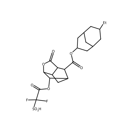 CCC1CC2CC(C1)CC(OC(=O)C1C3CC4C(OC(=O)C41)C3OC(=O)C(F)(F)S(=O)(=O)O)C2